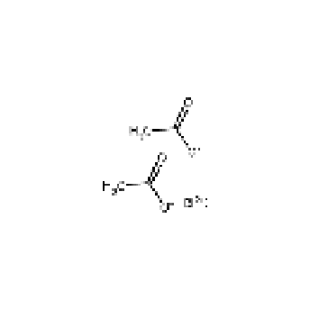 CC(=O)[O-].CC(=O)[O-].[Bi+2]